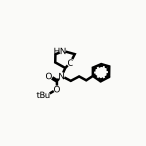 CC(C)(C)OC(=O)N(CCCc1ccccc1)C1CCNCC1